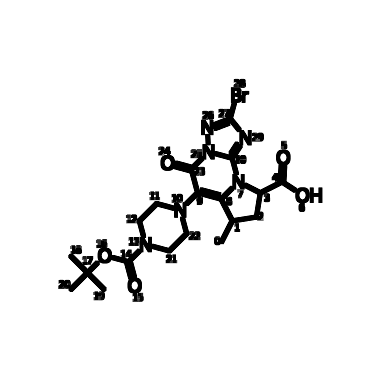 CC1CC(C(=O)O)n2c1c(N1CCN(C(=O)OC(C)(C)C)CC1)c(=O)n1nc(Br)nc21